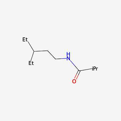 CCC(CC)CCNC(=O)C(C)C